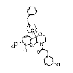 CCC1N(C(=O)Cc2cccc(Cl)c2)CCOC1(c1ccc(Cl)c(Cl)c1)[N+]12CCC(Cc3ccccc3)(CC1)CC2.[Cl-]